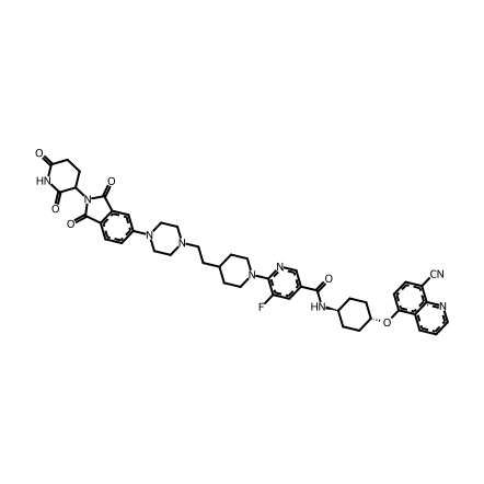 N#Cc1ccc(O[C@H]2CC[C@H](NC(=O)c3cnc(N4CCC(CCN5CCN(c6ccc7c(c6)C(=O)N(C6CCC(=O)NC6=O)C7=O)CC5)CC4)c(F)c3)CC2)c2cccnc12